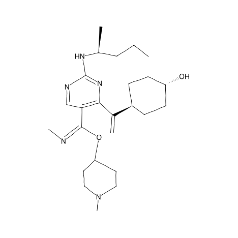 C=C(c1nc(N[C@@H](C)CCC)ncc1/C(=N\C)OC1CCN(C)CC1)[C@H]1CC[C@H](O)CC1